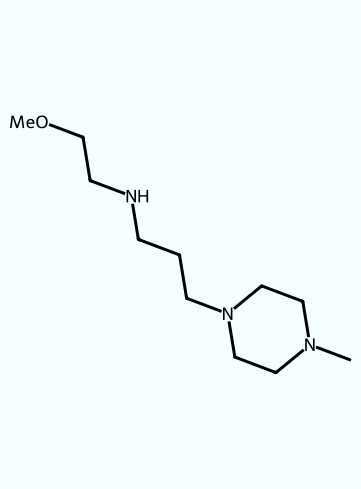 COCCNCCCN1CCN(C)CC1